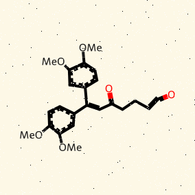 COc1ccc(C(=CC(=O)CCC=C=O)c2ccc(OC)c(OC)c2)cc1OC